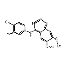 CCOc1cc2nnnc(Nc3ccc(Cl)c(Cl)c3)c2cc1OC